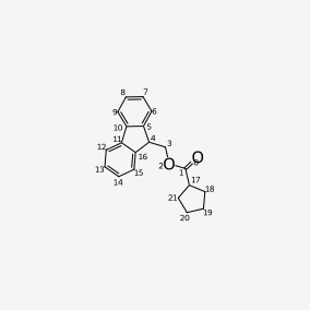 O=C(OCC1c2ccccc2-c2ccccc21)C1CCCC1